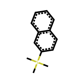 CS(C)(C)c1ccc2ccccc2c1